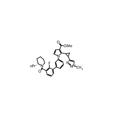 CCC[C@@H]1CCCCN1C(=O)c1cccc(-c2cccc(-n3ccc(C(=O)OC)c3C3CC3c3cn(C)nn3)c2)c1F